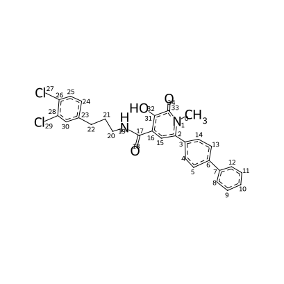 Cn1c(-c2ccc(-c3ccccc3)cc2)cc(C(=O)NCCCc2ccc(Cl)c(Cl)c2)c(O)c1=O